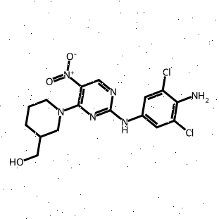 Nc1c(Cl)cc(Nc2ncc([N+](=O)[O-])c(N3CCCC(CO)C3)n2)cc1Cl